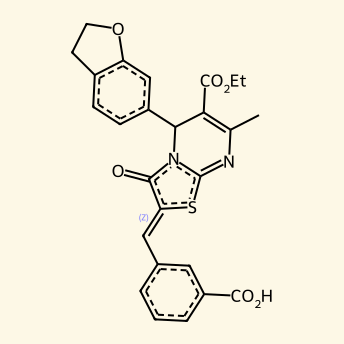 CCOC(=O)C1=C(C)N=c2s/c(=C\c3cccc(C(=O)O)c3)c(=O)n2C1c1ccc2c(c1)OCC2